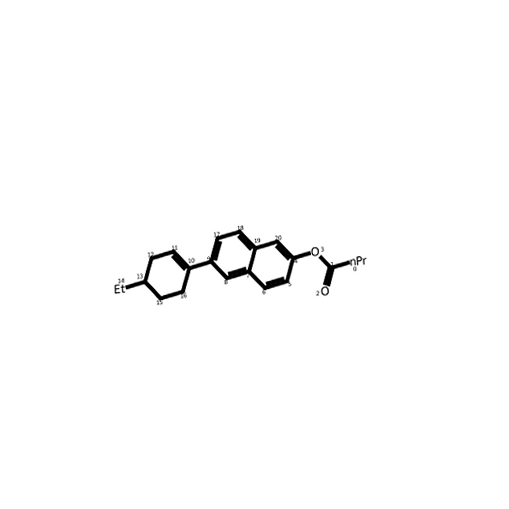 CCCC(=O)Oc1ccc2cc(C3=CCC(CC)CC3)ccc2c1